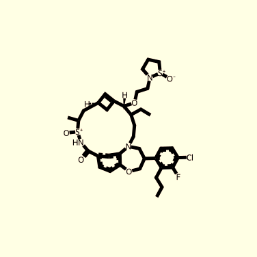 CCCc1c(C2COc3ccc4cc3N(CCC(CC)[C@@H](OCCN3CCC[S+]3[O-])C3=C[C@@H](C3)CC(C)[S+]([O-])NC4=O)C2)ccc(Cl)c1F